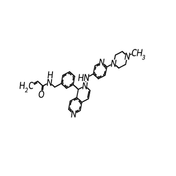 C=CC(=O)NCc1cccc(C2c3ccncc3C=CN2Nc2ccc(N3CCN(C)CC3)nc2)c1